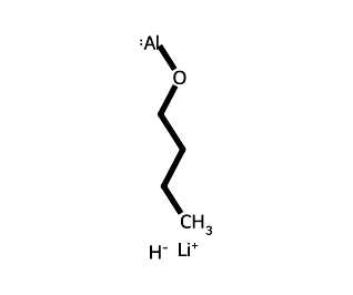 CCCC[O][Al].[H-].[Li+]